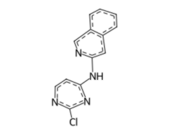 Clc1nccc(Nc2cc3ccccc3cn2)n1